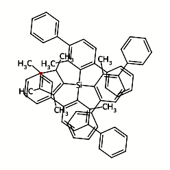 CC1=C(C)C(C)C([Si](c2c(-c3ccccc3)ccc(-c3ccccc3)c2C)(c2c(-c3ccccc3)ccc(-c3ccccc3)c2C)c2c(-c3ccccc3)ccc(-c3ccccc3)c2C)=C1C